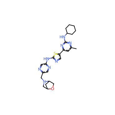 Cc1cc(-c2cnc(Nc3cnc(CN4CC5CC4CO5)cn3)s2)nc(NC2CCCCC2)n1